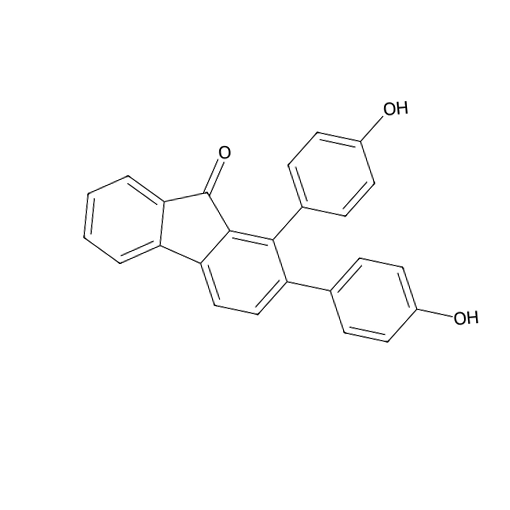 O=C1c2ccccc2-c2ccc(-c3ccc(O)cc3)c(-c3ccc(O)cc3)c21